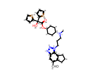 CN(CCCn1nnc2cc(C=O)c3c(c21)CCC3)[C@H]1CC[C@H](OC(=O)C(O)(c2cccs2)c2cccs2)CC1